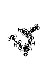 CC[C@@]1(O)C(=O)OCc2c1cc1n(c2=O)C(CNC(=O)COCNC(=O)CNC(=O)[C@H](Cc2ccccc2)NC(=O)CNC(=O)CNC(=O)CCCCCN2C(=O)C=CC2=O)c2cc3cc4c(cc3nc2-1)OCO4